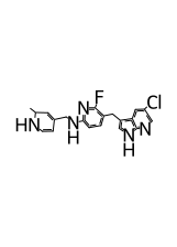 CC1C=C(CNc2ccc(Cc3c[nH]c4ncc(Cl)cc34)c(F)n2)C=CN1